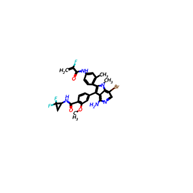 C=C(F)C(=O)Nc1ccc(-c2c(-c3ccc(C(=O)NC4CC4(F)F)c(OC)c3)c3c(N)ncc(Br)c3n2C)c(C)c1